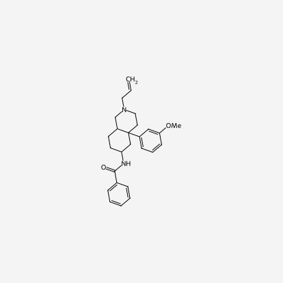 C=CCN1CCC2(c3cccc(OC)c3)CC(NC(=O)c3ccccc3)CCC2C1